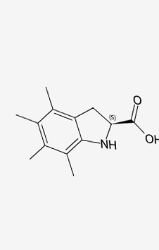 Cc1c(C)c(C)c2c(c1C)C[C@@H](C(=O)O)N2